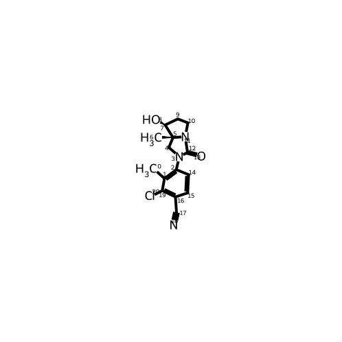 Cc1c(N2C[C@]3(C)[C@@H](O)CCN3C2=O)ccc(C#N)c1Cl